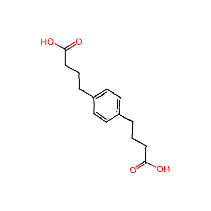 O=C(O)CCCc1ccc(CCCC(=O)O)cc1